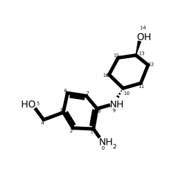 Nc1cc(CO)ccc1N[C@H]1CC[C@H](O)CC1